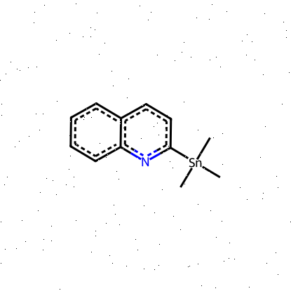 [CH3][Sn]([CH3])([CH3])[c]1ccc2ccccc2n1